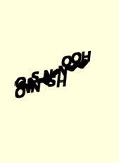 C=C[C@@H](O)CC(=O)NCc1nc(C2=N[C@](C)(C(=O)OC)CS2)cs1